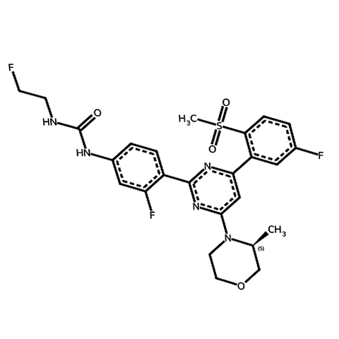 C[C@H]1COCCN1c1cc(-c2cc(F)ccc2S(C)(=O)=O)nc(-c2ccc(NC(=O)NCCF)cc2F)n1